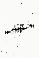 N#COCC(F)(F)C(F)(F)C(F)(F)C(F)(F)COC#N